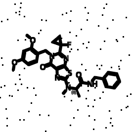 COc1ccc(Cn2c(C3(F)CC3)nc3sc(N(C)[C@H](C)C(=O)NCc4ccccc4)nc3c2=O)c(OC)c1